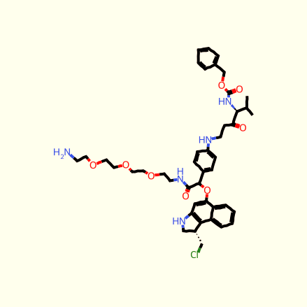 CC(C)[C@H](NC(=O)OCc1ccccc1)C(=O)CCNc1ccc(C(Oc2cc3c(c4ccccc24)[C@H](CCl)CN3)C(=O)NCCOCCOCCOCCN)cc1